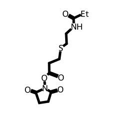 CCC(=O)NCCSCCC(=O)ON1C(=O)CCC1=O